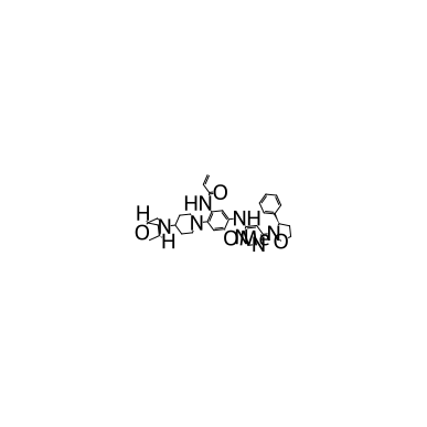 C=CC(=O)Nc1cc(Nc2cc(N3OCC[C@@H]3c3ccccc3)ncn2)c(OC)cc1N1CCC(N2C[C@H]3C[C@@H]2CO3)CC1